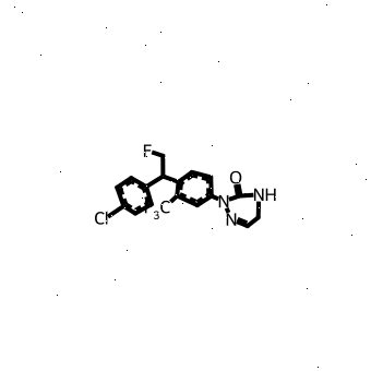 O=C1NCC=NN1c1ccc(C(CF)c2ccc(Cl)cc2)c(C(F)(F)F)c1